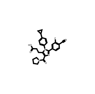 N#Cc1ccc(-c2nc(C(=O)N3CCCC3)c(CCC(=O)O)n2-c2ccc(C3CC3)cc2)cc1F